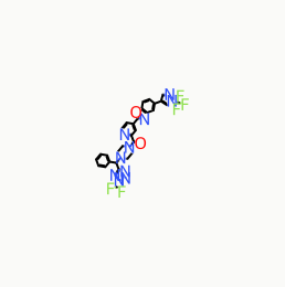 O=C(c1cc(-c2nc3cc(-c4cnn(C(F)(F)F)c4)ccc3o2)ccn1)N1CCN(C(c2ccccc2)c2nnn(C(F)F)n2)CC1